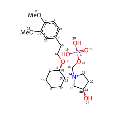 COc1ccc(CCO[C@@H]2CCCC[C@H]2[N+]2(COP(=O)(O)O)CC[C@@H](O)C2)cc1OC